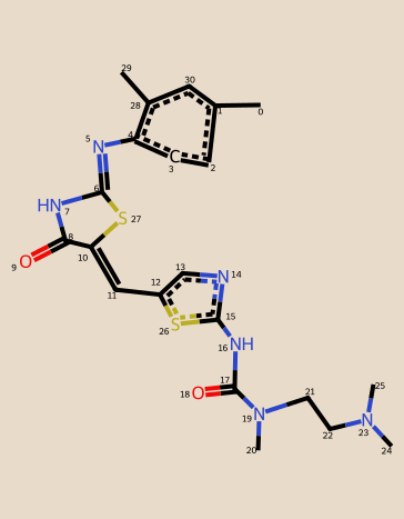 Cc1ccc(/N=C2/NC(=O)/C(=C/c3cnc(NC(=O)N(C)CCN(C)C)s3)S2)c(C)c1